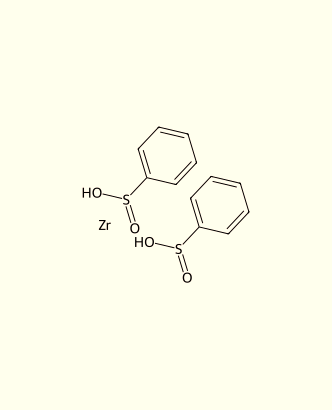 O=S(O)c1ccccc1.O=S(O)c1ccccc1.[Zr]